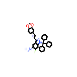 Nc1cc2c(/C=C/c3ccc4c(c3)OCO4)nn(C(c3ccccc3)(c3ccccc3)c3ccccc3)c2cc1F